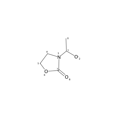 CC([O])N1CCOC1=O